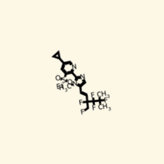 CCS(=O)(=O)c1cc(C2CC2)cnc1-c1ncc(/C=C/C(F)(CF)C(F)(F)C(C)(C)F)n1C